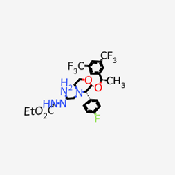 CCOC(=O)N/N=C(\N)CN1CCO[C@H](O[C@H](C)c2cc(C(F)(F)F)cc(C(F)(F)F)c2)[C@@H]1c1ccc(F)cc1